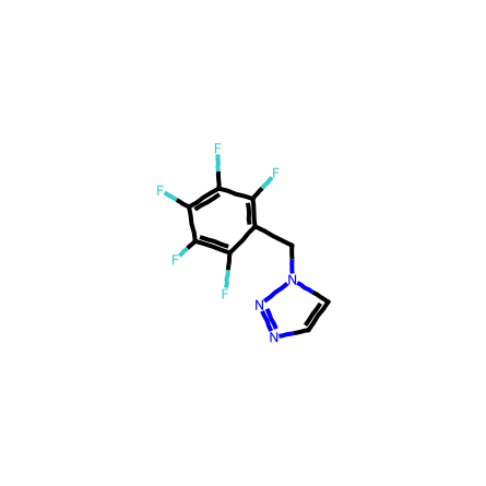 Fc1c(F)c(F)c(Cn2ccnn2)c(F)c1F